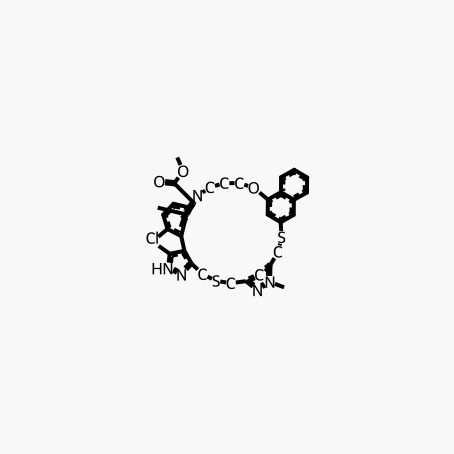 COC(=O)c1c(C)c2c3c(Cl)ccc2n1CCCOc1cc(cc2ccccc12)SCc1cc(nn1C)CSCc1n[nH]c(C)c1-3